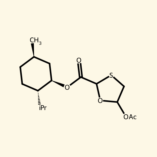 CC(=O)OC1CSC(C(=O)O[C@@H]2C[C@H](C)CC[C@H]2C(C)C)O1